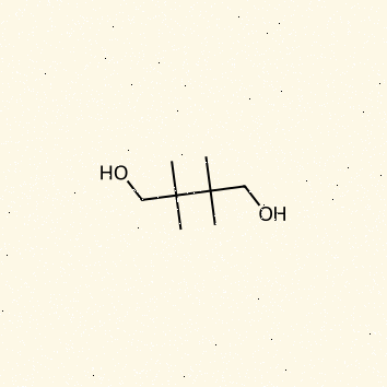 CC(C)(CO)C(C)(C)CO